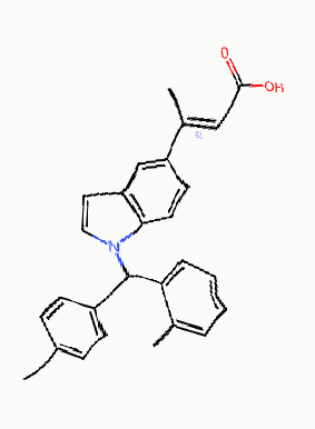 C/C(=C\C(=O)O)c1ccc2c(ccn2C(c2ccc(C)cc2)c2ccccc2C)c1